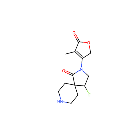 CC1=C(N2CC(F)C3(CCNCC3)C2=O)COC1=O